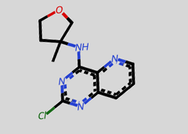 CC1(Nc2nc(Cl)nc3cccnc23)CCOC1